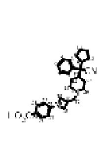 N#CC(c1ccccc1)(C1CCCC1)C1CCN(CC2CN(c3ccc(C(=O)O)cc3)C2)CC1